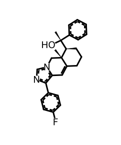 C[C@]12Cn3cnc(-c4ccc(F)cc4)c3C=C1CCC[C@@H]2[C@](C)(O)c1ccccc1